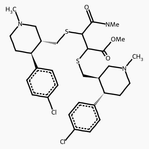 CNC(=O)C(SC[C@H]1CN(C)CC[C@@H]1c1ccc(Cl)cc1)C(SC[C@H]1CN(C)CC[C@@H]1c1ccc(Cl)cc1)C(=O)OC